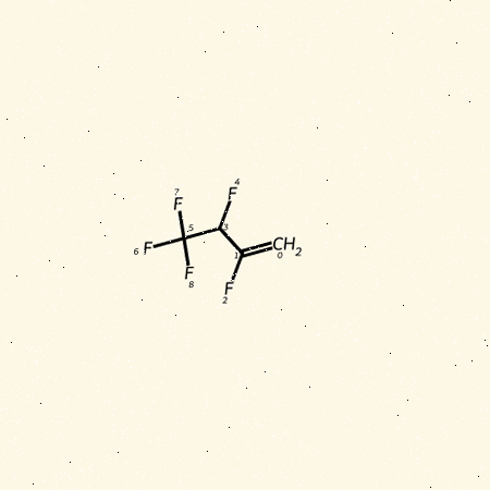 C=C(F)C(F)C(F)(F)F